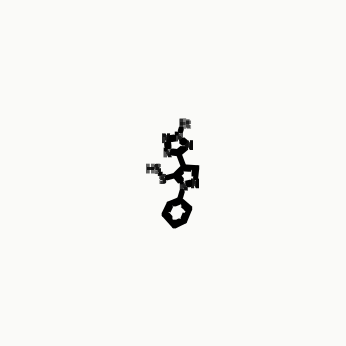 CCn1nnc(-c2cnn(-c3ccccc3)c2SS)n1